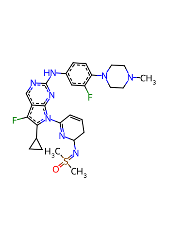 CN1CCN(c2ccc(Nc3ncc4c(F)c(C5CC5)n(C5=NC(N=S(C)(C)=O)CC=C5)c4n3)cc2F)CC1